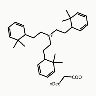 CC1(C)C=CC=CC1C[CH2][Sn+]([CH2]CC1C=CC=CC1(C)C)[CH2]CC1C=CC=CC1(C)C.CCCCCCCCCCCC(=O)[O-]